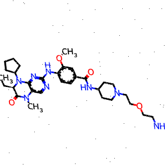 CC[C@@H]1C(=O)N(C)c2cnc(Nc3ccc(C(=O)NC4CCN(CCOCCN)CC4)cc3OC)nc2N1C1CCCC1